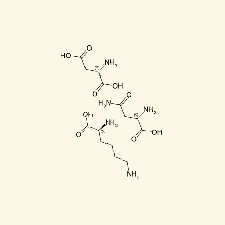 NC(=O)C[C@H](N)C(=O)O.NCCCC[C@H](N)C(=O)O.N[C@@H](CC(=O)O)C(=O)O